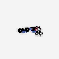 CCC1(C(=O)NC(C)C)CCN(c2ccc(-c3cc4ccccc4[nH]3)cc2)CC1